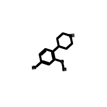 CCOc1cc(C(C)C)ccc1C1CCNCC1